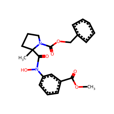 COC(=O)c1cccc(N(O)C(=O)C2(C)CCCN2C(=O)OCc2ccccc2)c1